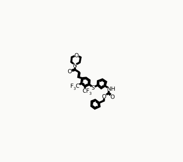 O=C(Nc1cccc(Sc2ccc(C=CC(=O)N3CCOCC3)c(C(F)(F)F)c2C(F)(F)F)c1)OCc1ccccc1